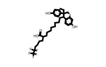 CCC1(c2ccc(O)cc2)CSc2cc(O)ccc2C1CCCCCCCCC(CCCCC(F)(F)C(F)(F)F)C(=O)O